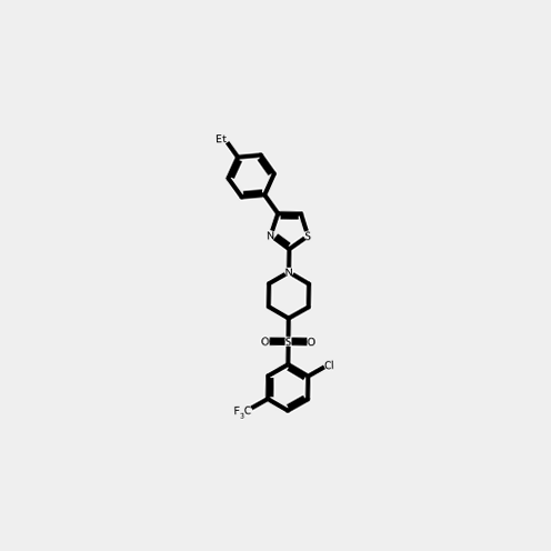 CCc1ccc(-c2csc(N3CCC(S(=O)(=O)c4cc(C(F)(F)F)ccc4Cl)CC3)n2)cc1